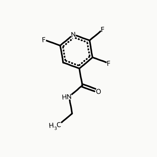 CCNC(=O)c1cc(F)nc(F)c1F